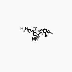 CC(C)Oc1ccc2ccc(-c3nnc4ccc([C@@H](N5CC[C@H](N)C5)C(F)(F)F)cn34)nc2c1C1CC1.Cl.Cl